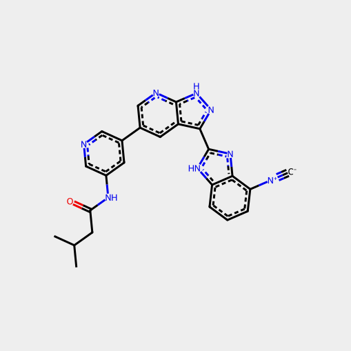 [C-]#[N+]c1cccc2[nH]c(-c3n[nH]c4ncc(-c5cncc(NC(=O)CC(C)C)c5)cc34)nc12